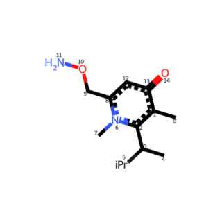 Cc1c(C(C)C(C)C)n(C)c(CON)cc1=O